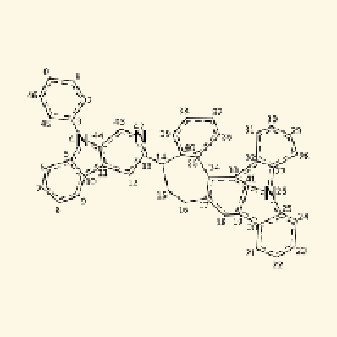 c1ccc(-n2c3ccccc3c3cc(C4CCc5cc6c7ccccc7n7c8ccccc8c(c5-c5ccccc54)c67)ncc32)cc1